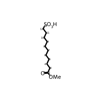 COC(=O)CCCCCCCCCCS(=O)(=O)O